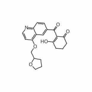 O=C1CCCC(O)=C1C(=O)c1ccc2nccc(OCC3CCCO3)c2c1